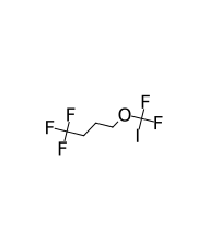 FC(F)(F)CCCOC(F)(F)I